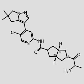 CC(N)C(=O)N1C[C@H]2CC(C(=O)Nc3cc(-c4cnn5c4CC(C)(C)C5)c(Cl)cn3)C[C@H]2C1